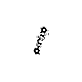 O=C(Cc1csc(-c2cccc(F)c2)n1)N[C@H](Cc1ccccc1)C(=O)O